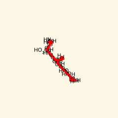 N=C1N[C@H]2[C@H](CS[C@H]2CCCCC(=O)NCCC(=O)NCCOCCOCCNC(=O)c2cc(NC(=O)c3ccc(I)cc3)cc(C(=O)NCCOCCOCCNC(=O)C[C@H](NC(=O)CCCC[C@@H]3SC[C@@H]4NC(=N)N[C@@H]43)C(=O)O)c2)N1